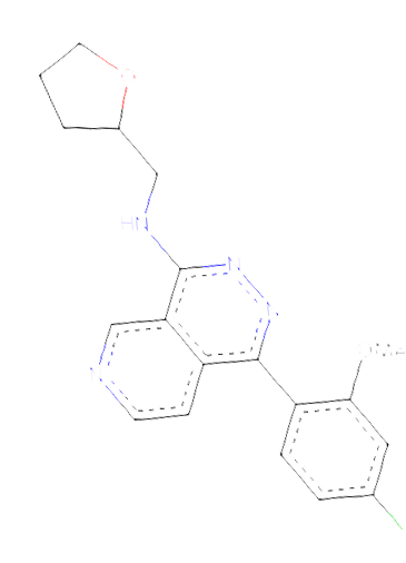 COc1cc(Cl)ccc1-c1nnc(NCC2CCCO2)c2cnccc12